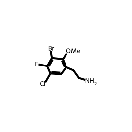 COc1c(CCN)cc(Cl)c(F)c1Br